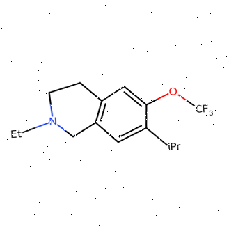 CCN1CCc2cc(OC(F)(F)F)c(C(C)C)cc2C1